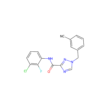 N#Cc1cccc(Cn2cnc(C(=O)Nc3cccc(Cl)c3F)n2)c1